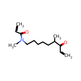 C=CC(=O)C(C)CCCCCN(C)C(=O)C=C